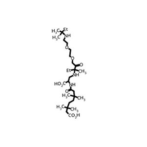 CCC(C)(C)NCCOCCOCC(=O)C(C)(CC)NCC(NC(=O)CC(C)(C)CCC(C)(C)CC(=O)O)C(=O)O